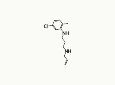 C=CCNCCCNc1cc(Cl)ccc1C